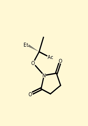 CC[C@@](C)(ON1C(=O)CCC1=O)C(C)=O